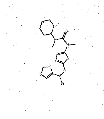 CCC(Oc1nnc(N(C)C(=O)N(C)C2CCCCC2)s1)C1=CSCS1